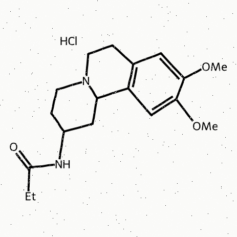 CCC(=O)NC1CCN2CCc3cc(OC)c(OC)cc3C2C1.Cl